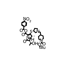 CC(O)[C@H]1C(=O)N2C(C(=O)OC(=O)c3ccc([N+](=O)[O-])cc3)=C(S[C@@H]3CCN(CC4CCN(C(=O)OC(C)(C)C)CC4)C3)[C@H](C)[C@H]12